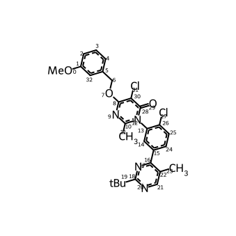 COc1cccc(COc2nc(C)n(-c3cc(-c4nc(C(C)(C)C)ncc4C)ccc3Cl)c(=O)c2Cl)c1